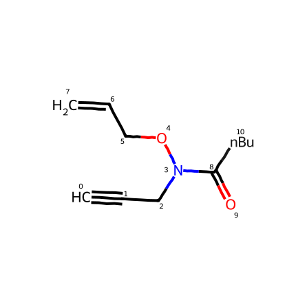 C#CCN(OCC=C)C(=O)CCCC